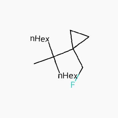 CCCCCCC(C)(CCCCCC)C1(CF)CC1